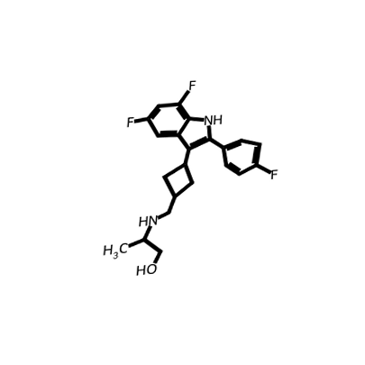 CC(CO)NCC1CC(c2c(-c3ccc(F)cc3)[nH]c3c(F)cc(F)cc23)C1